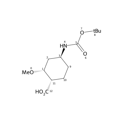 CO[C@@H]1C[C@@H](NC(=O)OC(C)(C)C)CC[C@@H]1C(=O)O